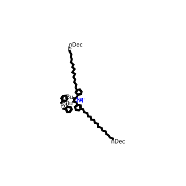 CCCCCCCCCCCCCCCCCCCCCCCCCCCc1cccc(C2=C(CCCC)C(CCCC)=C(c3cccc(CCCCCCCCCCCCCCCCCCCCCCCCCCC)c3)[N+]2=[N-])c1.c1ccc([CH2][Pd][CH2]c2ccccc2)cc1